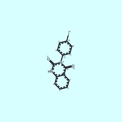 O=c1[nH]c2ccccc2c(=O)n1-c1ccc(I)cc1